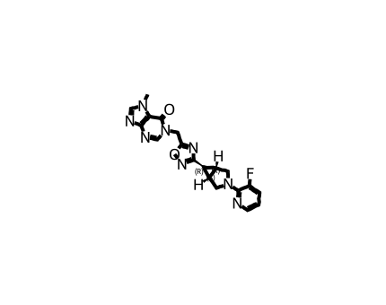 Cn1cnc2ncn(Cc3nc([C@H]4[C@@H]5CN(c6ncccc6F)C[C@@H]54)no3)c(=O)c21